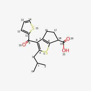 CC(C)Cc1sc2c(c1C(=O)c1cccs1)CCC2C(=O)O